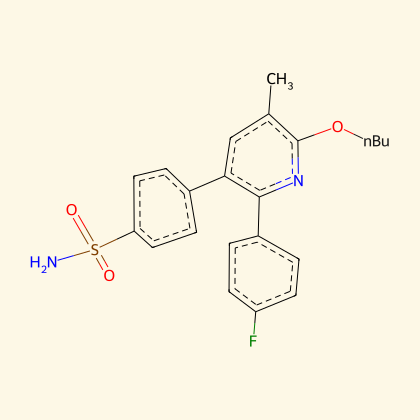 CCCCOc1nc(-c2ccc(F)cc2)c(-c2ccc(S(N)(=O)=O)cc2)cc1C